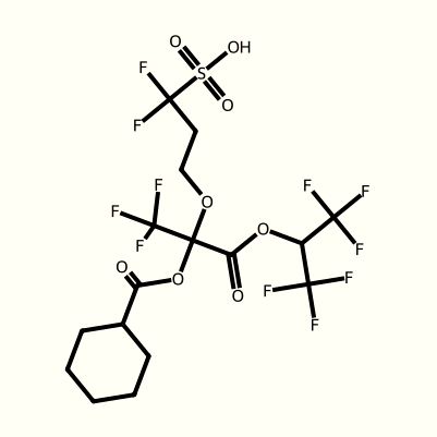 O=C(OC(OCCC(F)(F)S(=O)(=O)O)(C(=O)OC(C(F)(F)F)C(F)(F)F)C(F)(F)F)C1CCCCC1